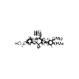 COc1ccc(-c2nc(C(=O)NCc3cccc(C(=O)O)n3)c(C(C)N)o2)cc1OC.Cl.Cl